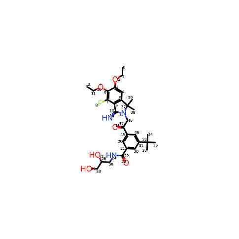 CCOc1cc2c(c(F)c1OCC)C(=N)N(CC(=O)c1cc(C(=O)NCC(O)CO)cc(C(C)(C)C)c1)C2(C)C